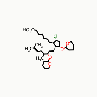 CC(C)=CCC(C)[C@@H](/C=C/[C@@H]1[C@@H](CCCCCCC(=O)O)[C@H](Cl)C[C@H]1OC1CCCCO1)OC1CCCCO1